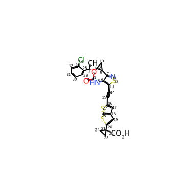 CC(OC(=O)Nc1c(C2CC2)nsc1C#Cc1cc2cc(C3(C(=O)O)CC3)sc2s1)c1ccccc1Cl